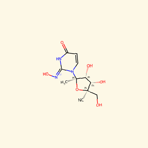 C[C@@]1(n2ccc(=O)[nH]/c2=N\O)O[C@](C#N)(CO)[C@@H](O)[C@H]1O